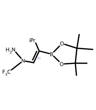 CC(C)/C(=C\N(N)C(F)(F)F)B1OC(C)(C)C(C)(C)O1